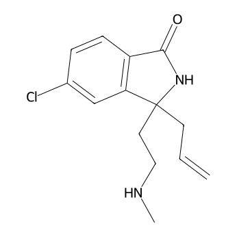 C=CCC1(CCNC)NC(=O)c2ccc(Cl)cc21